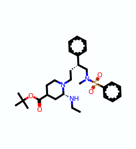 CCN[C@@H]1CC(C(=O)OC(C)(C)C)CCN1CC[C@@H](CN(C)S(=O)(=O)c1ccccc1)c1ccccc1